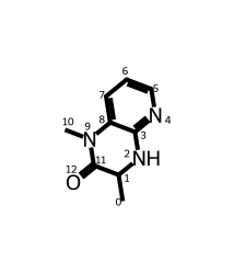 CC1Nc2ncccc2N(C)C1=O